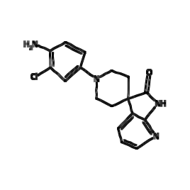 Nc1ccc(N2CCC3(CC2)C(=O)Nc2ncccc23)cc1Cl